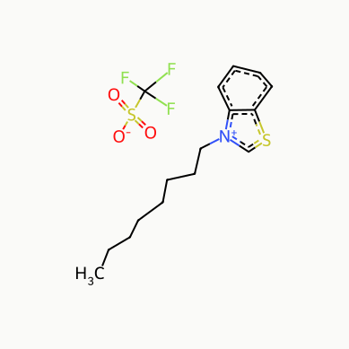 CCCCCCCC[n+]1csc2ccccc21.O=S(=O)([O-])C(F)(F)F